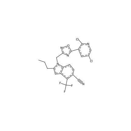 CCCc1cc2c(C(F)(F)F)c(C#N)ccc2n1Cc1noc(-c2cc(Cl)cnc2Cl)n1